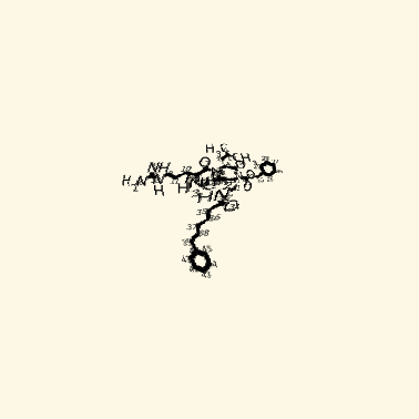 CC(C)C[C@@H](NC(=O)[C@H](N)CCCNC(=N)N)C(=O)N(C(=O)OCc1ccccc1)[C@H](CNC(=O)CCCCCc1ccccc1)C(C)C